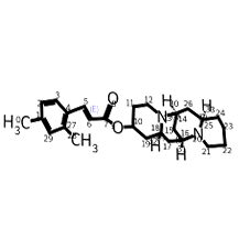 Cc1ccc(/C=C/C(=O)OC2CCN3[C@@H]4C[C@@H](C[C@@H]3C2)N2CCCC[C@@H]2C4)c(C)c1